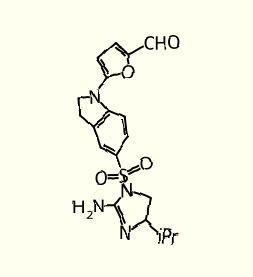 CC(C)C1CN(S(=O)(=O)c2ccc3c(c2)CCN3c2ccc(C=O)o2)C(N)=N1